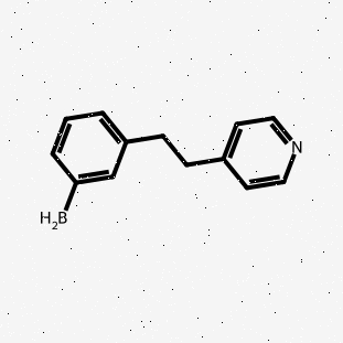 Bc1cccc(CCc2ccncc2)c1